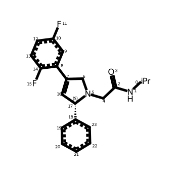 CC(C)NC(=O)CN1CC(c2cc(F)ccc2F)=C[C@H]1c1ccccc1